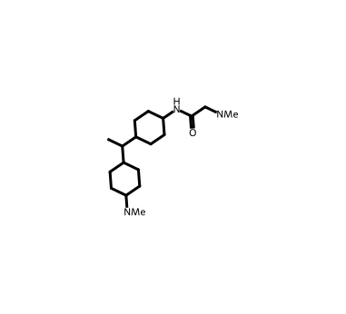 CNCC(=O)NC1CCC(C(C)C2CCC(NC)CC2)CC1